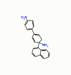 Nc1ccc(C2=CCC(N)(c3cccc4ccccc34)C=C2)cc1